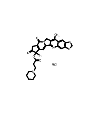 CCC1(OC(=O)CCN2CCCCC2)C(=O)Cc2c1cc1n(c2=O)Cc2c-1nc1cc3c(cc1c2C)OCO3.Cl